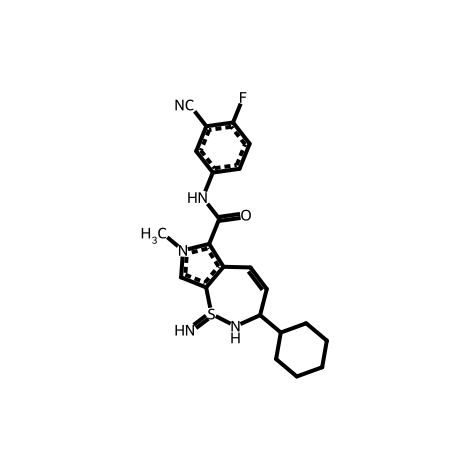 Cn1cc2c(c1C(=O)Nc1ccc(F)c(C#N)c1)C=CC(C1CCCCC1)NS2=N